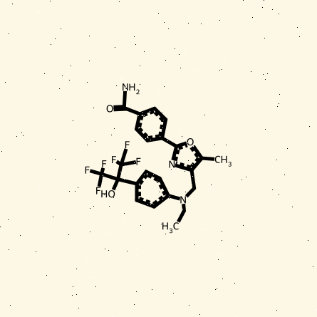 CCN(Cc1nc(-c2ccc(C(N)=O)cc2)oc1C)c1ccc(C(O)(C(F)(F)F)C(F)(F)F)cc1